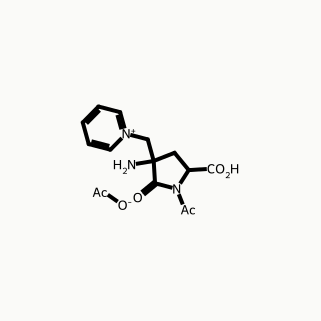 CC(=O)N1C(=O)C(N)(C[n+]2ccccc2)CC1C(=O)O.CC(=O)[O-]